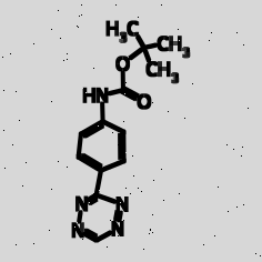 CC(C)(C)OC(=O)Nc1ccc(-c2nncnn2)cc1